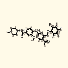 COc1cc(C(=O)NC2CCN(C)CC2)ccc1Nc1ncc(C(C)=O)c(COc2c(F)c(F)c(F)c(F)c2F)n1